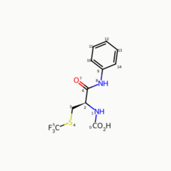 O=C(O)N[C@@H](CSC(F)(F)F)C(=O)Nc1ccccc1